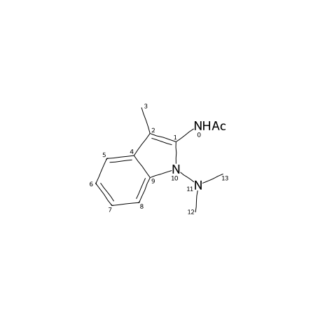 CC(=O)Nc1c(C)c2ccccc2n1N(C)C